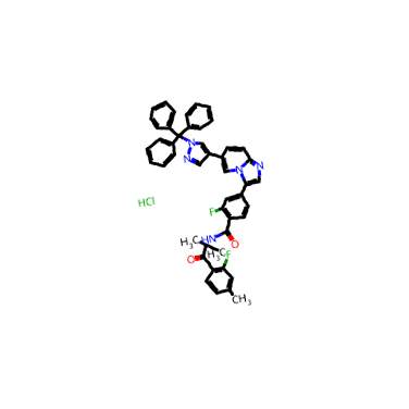 Cc1ccc(C(=O)C(C)(C)NC(=O)c2ccc(-c3cnc4ccc(-c5cnn(C(c6ccccc6)(c6ccccc6)c6ccccc6)c5)cn34)cc2F)c(F)c1.Cl